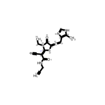 C#CCNC(=O)/C(C#N)=c1\sc(=C=Cc2nc[nH]c2C)c(=O)n1CC